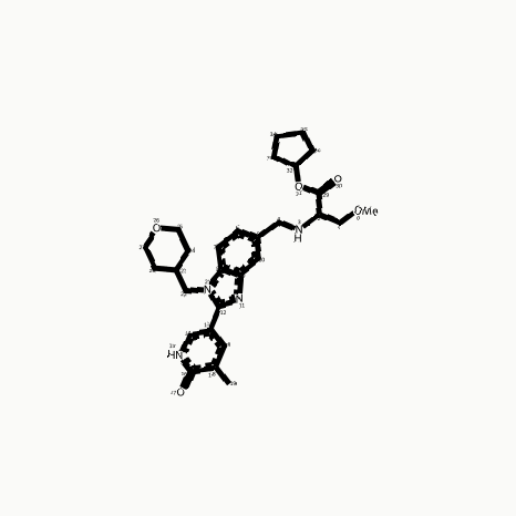 COCC(NCc1ccc2c(c1)nc(-c1c[nH]c(=O)c(C)c1)n2CC1CCOCC1)C(=O)OC1CCCC1